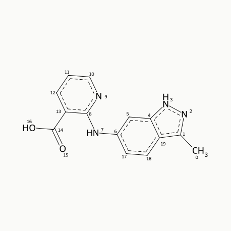 Cc1n[nH]c2cc(Nc3ncccc3C(=O)O)ccc12